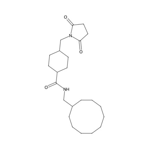 O=C(NCC1CCCCCCCCC1)C1CCC(CN2C(=O)CCC2=O)CC1